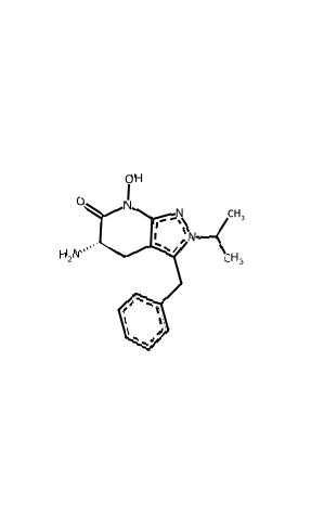 CC(C)n1nc2c(c1Cc1ccccc1)C[C@H](N)C(=O)N2O